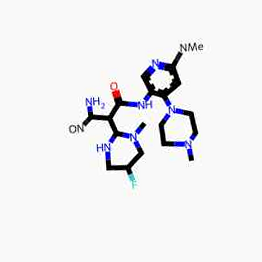 CNc1cc(N2CCN(C)CC2)c(NC(=O)C(C(N)N=O)C2NCC(F)CN2C)cn1